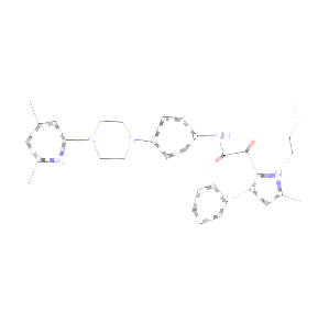 COCCn1c(C)cc(-c2ccccc2)c1C(=O)C(=O)Nc1ccc(N2CCN(c3cc(C)cc(C)n3)CC2)cc1